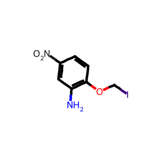 Nc1cc([N+](=O)[O-])ccc1OCI